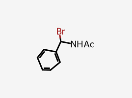 CC(=O)NC(Br)c1ccccc1